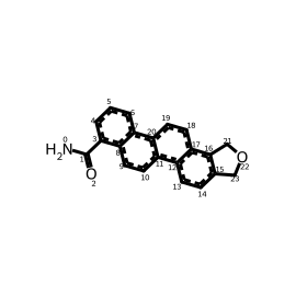 NC(=O)c1cccc2c1ccc1c3ccc4c(c3ccc21)COC4